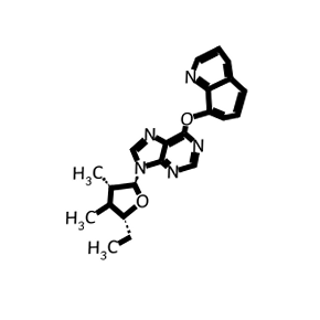 CC[C@H]1O[C@@H](n2cnc3c(Oc4cccc5cccnc45)ncnc32)[C@@H](C)C1C